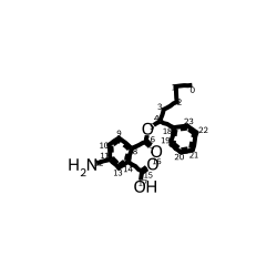 CCCCC(OC(=O)c1ccc(N)cc1C(=O)O)c1ccccc1